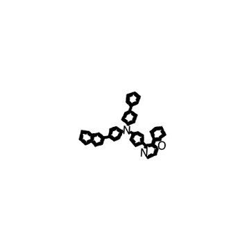 c1ccc(-c2ccc(N(c3ccc(-c4ccc5ccccc5c4)cc3)c3ccc(-c4nccc5oc6ccccc6c45)cc3)cc2)cc1